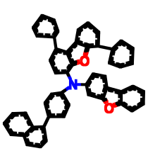 c1ccc(-c2cccc3c2oc2c(N(c4ccc(-c5cccc6ccccc56)cc4)c4ccc5c(c4)oc4ccccc45)ccc(-c4ccccc4)c23)cc1